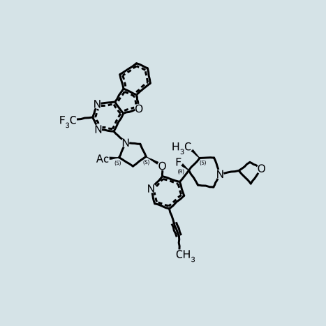 CC#Cc1cnc(O[C@H]2C[C@@H](C(C)=O)N(c3nc(C(F)(F)F)nc4c3oc3ccccc34)C2)c([C@@]2(F)CCN(C3COC3)C[C@@H]2C)c1